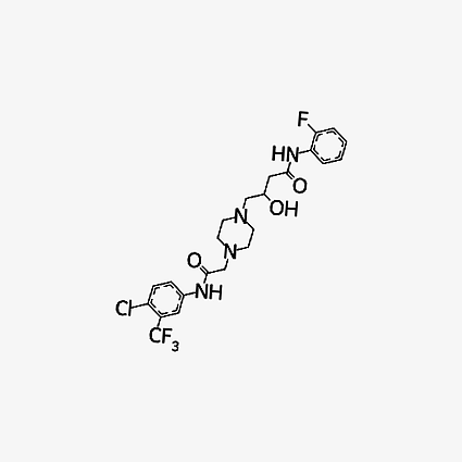 O=C(CN1CCN(CC(O)CC(=O)Nc2ccccc2F)CC1)Nc1ccc(Cl)c(C(F)(F)F)c1